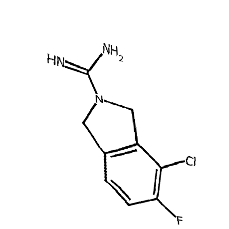 N=C(N)N1Cc2ccc(F)c(Cl)c2C1